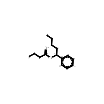 CCCCC(OC(=O)CCC)c1ccccc1